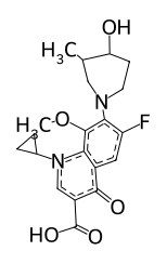 COc1c(N2CCC(O)C(C)C2)c(F)cc2c(=O)c(C(=O)O)cn(C3CC3)c12